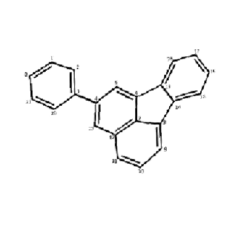 c1ccc(-c2cc3c4c(cccc4c2)-c2ccccc2-3)cc1